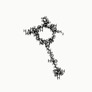 C[C@H]1NC(=O)[C@@H](NC(=O)COCCOCCOCCNC(=O)CCCC[C@@H]2SC[C@@H]3NC(=O)N[C@@H]32)Cc2cn(nn2)CCCC[C@@H](C(N)=O)NC(=O)[C@@H](CO)NC(=O)[C@H](Cc2cn(C)c3ccccc23)NC(=O)[C@@H](Cc2ccccc2)NC(=O)[C@@H](CCCNC(=N)N)NC1=O